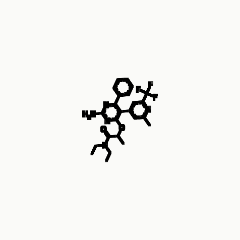 CCN(CC)C(=O)C(C)Oc1nc(N)nc(-c2ccccc2)c1-c1cc(C)nc(C(F)(F)F)c1